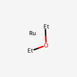 CCOCC.[Ru]